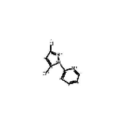 Clc1[c]c(Cl)n(-c2ccccn2)n1